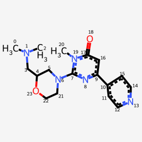 CN(C)CC1CN(c2nc(-c3ccncc3)cc(=O)n2C)CCO1